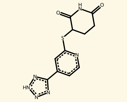 O=C1CCC(Sc2cc(-c3nn[nH]n3)ccn2)C(=O)N1